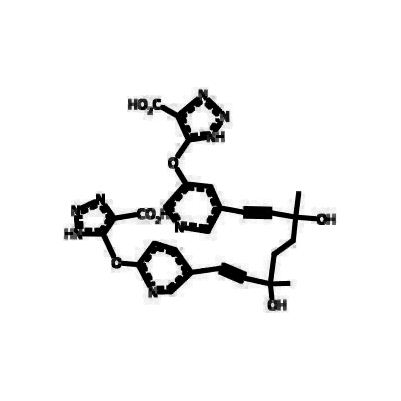 CC(O)(C#Cc1ccc(Oc2[nH]nnc2C(=O)O)nc1)CCC(C)(O)C#Cc1cncc(Oc2[nH]nnc2C(=O)O)c1